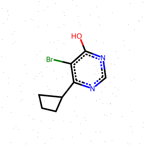 Oc1ncnc(C2CCC2)c1Br